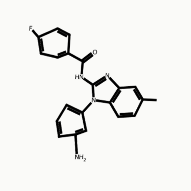 Cc1ccc2c(c1)nc(NC(=O)c1ccc(F)cc1)n2-c1cccc(N)c1